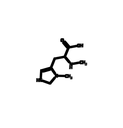 CNC(CC1=CNCN1C)C(=O)O